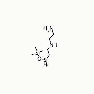 C[SiH](CCNCCN)O[Si](C)(C)C